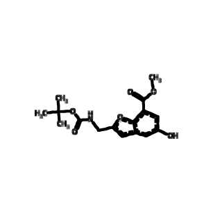 COC(=O)c1cc(O)cc2cc(CNC(=O)OC(C)(C)C)oc12